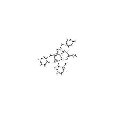 CC(=O)Oc1c(Cc2ccccc2)nc2c(Cc3ccccc3)nc(-c3ccccc3F)cn12